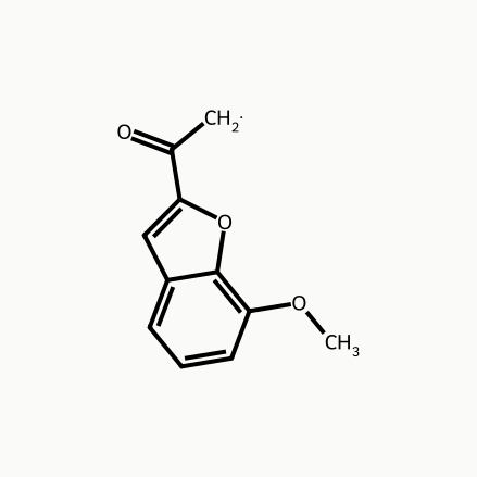 [CH2]C(=O)c1cc2cccc(OC)c2o1